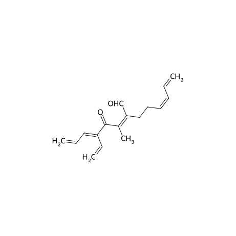 C=C/C=C\CC/C(C=O)=C(\C)C(=O)/C(C=C)=C/C=C